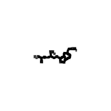 C=Cc1ccc2onc(OCC(N)COC(N)=O)c2c1